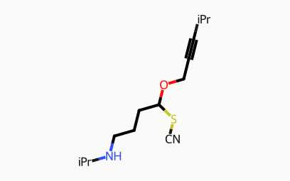 CC(C)C#CCOC(CCCNC(C)C)SC#N